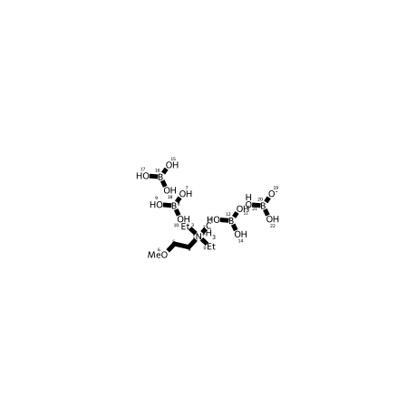 CC[N+](C)(CC)CCOC.OB(O)O.OB(O)O.OB(O)O.[O-]B(O)O